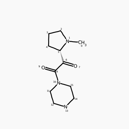 CN1CCC[C@H]1C(=O)C(=O)N1CC[N]CC1